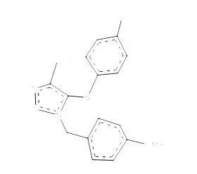 CCOC(=O)c1nnn(Cc2ccc(OC)cc2)c1Nc1ccc(C=O)cc1